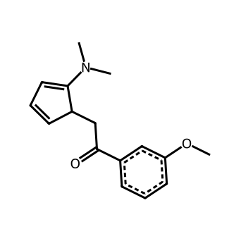 COc1cccc(C(=O)CC2C=CC=C2N(C)C)c1